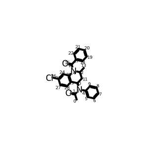 CC(=O)N(c1ccccc1)C1CC(C)N(C(=O)c2ccccc2)c2cc(Cl)ccc21